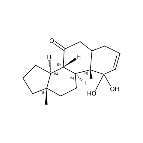 C[C@@]12CCC[C@H]1[C@@H]1C(=O)CC3CC=CC(O)(O)[C@]3(C)[C@H]1CC2